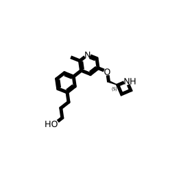 Cc1ncc(OC[C@@H]2CCN2)cc1-c1cccc(CCCO)c1